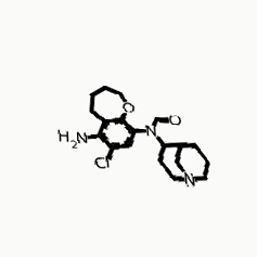 Nc1c(Cl)cc(N(C=O)C2CCN3CCCC2C3)c2c1CCCCO2